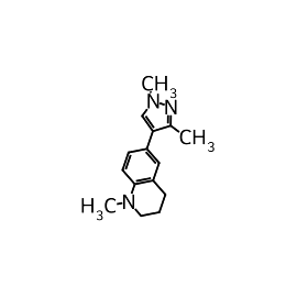 Cc1nn(C)cc1-c1ccc2c(c1)CCCN2C